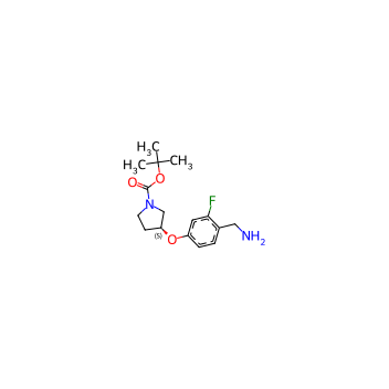 CC(C)(C)OC(=O)N1CC[C@H](Oc2ccc(CN)c(F)c2)C1